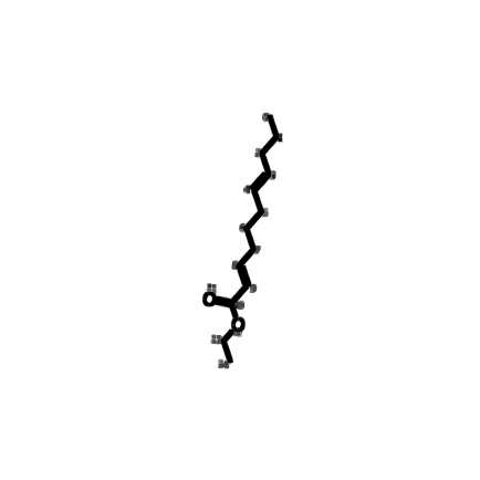 CCCC=CCCCC=CC(=O)OCC